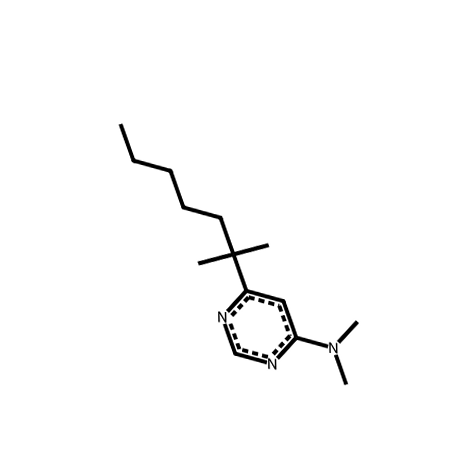 CCCCCC(C)(C)c1cc(N(C)C)ncn1